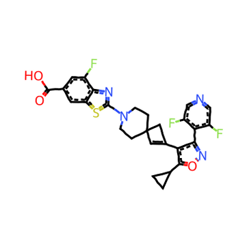 O=C(O)c1cc(F)c2nc(N3CCC4(C=C(c5c(-c6c(F)cncc6F)noc5C5CC5)C4)CC3)sc2c1